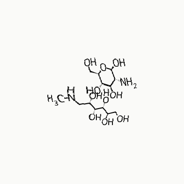 CNC[C@H](O)[C@@H](O)[C@H](O)[C@H](O)CO.N[C@@H]1[C@@H](O)[C@H](O)[C@@H](CO)O[C@H]1O